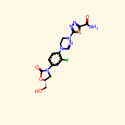 NC(=O)c1nnc(N2CCN(c3ccc(N4C[C@H](CO)OC4=O)cc3F)C=N2)s1